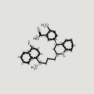 Cc1ccc([C@@H]2C[C@H](CCC[C@H](C)c3ccc(F)c4ccccc34)Oc3ccccc32)cc1C(=O)O